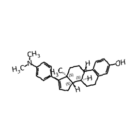 CN(C)c1ccc(C2=CC[C@H]3[C@@H]4CCc5cc(O)ccc5[C@H]4CC[C@]23C)cc1